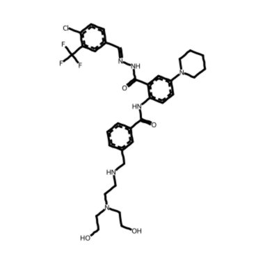 O=C(Nc1ccc(N2CCCCC2)cc1C(=O)NN=Cc1ccc(Cl)c(C(F)(F)F)c1)c1cccc(CNCCN(CCO)CCO)c1